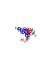 CONC(=O)c1c(Nc2ccc(OC)nc2N(C)S(C)(=O)=O)ccnc1Nc1ccc(F)cn1